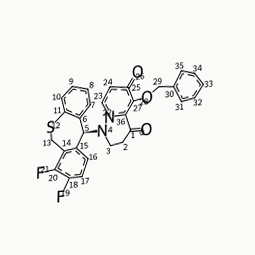 O=C1CCN([C@@H]2c3ccccc3SCc3c2ccc(F)c3F)n2ccc(=O)c(OCc3ccccc3)c21